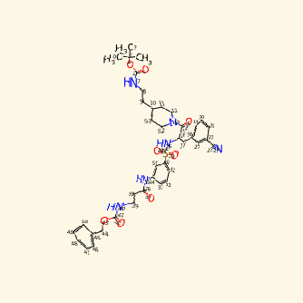 CC(C)(C)OC(=O)NCCC1CCN(C(=O)C(Cc2cccc(C#N)c2)NS(=O)(=O)c2cccc(NC(=O)CCNC(=O)OCc3ccccc3)c2)CC1